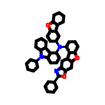 c1ccc(-c2nc3cc4c(cc3o2)oc2cccc(N(c3ccc5oc6ccccc6c5c3)c3cccc5c3c3ccccc3n5-c3ccccc3)c24)cc1